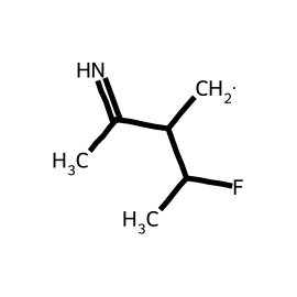 [CH2]C(C(C)=N)C(C)F